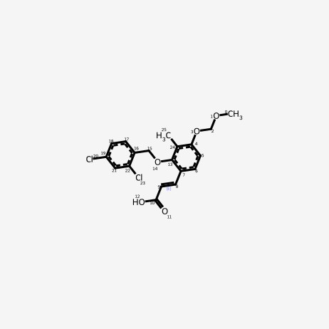 COCOc1ccc(/C=C/C(=O)O)c(OCc2ccc(Cl)cc2Cl)c1C